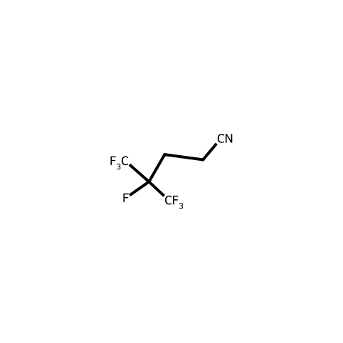 N#CCCC(F)(C(F)(F)F)C(F)(F)F